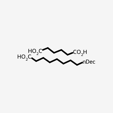 CCCCCCCCCCCCCCCCCC(=O)O.O=C(O)CCCCC(=O)O